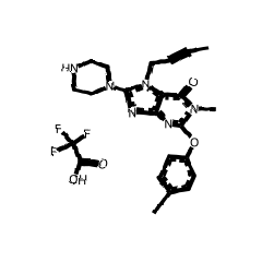 CC#CCn1c(N2CCNCC2)nc2nc(Oc3ccc(C)cc3)n(C)c(=O)c21.O=C(O)C(F)(F)F